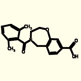 Cc1cccc(C)c1C(=O)N1CCOc2cc(C(=O)O)ccc2C1